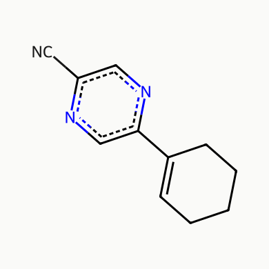 N#Cc1cnc(C2=CCCCC2)cn1